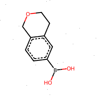 OB(O)c1ccc2c(c1)CCOC2